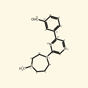 CN1CCCN(c2cncc(-c3cccc(C=O)c3)n2)CC1